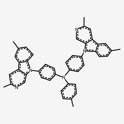 Cc1ccc(N(c2ccc(-n3c4ccc(C)cc4c4cc(C)ncc43)cc2)c2ccc(-n3c4ccc(C)cc4c4cc(C)ncc43)cc2)cc1